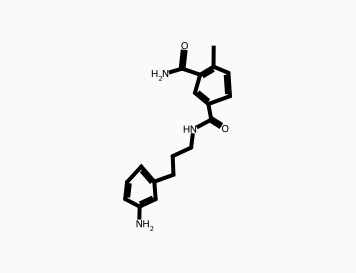 Cc1ccc(C(=O)NCCCc2cccc(N)c2)cc1C(N)=O